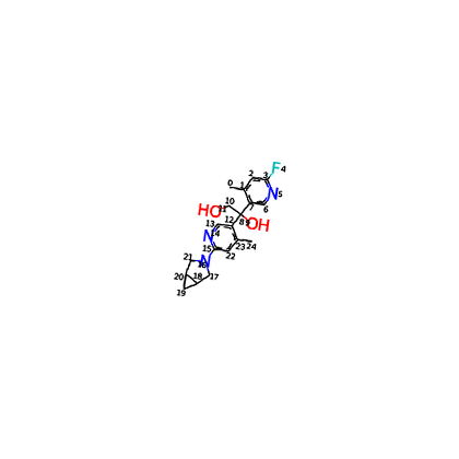 Cc1cc(F)ncc1C(O)(CO)c1cnc(N2CC3CC3C2)cc1C